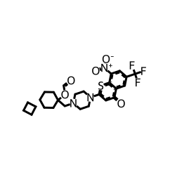 C1CCC1.O=COC1(CN2CCN(c3cc(=O)c4cc(C(F)(F)F)cc([N+](=O)[O-])c4s3)CC2)CCCCC1